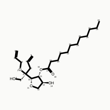 C=CCO[C@@](CO)(CC=C)[C@H]1OC[C@H](O)[C@H]1OC(=O)CCCCCCCCCCC